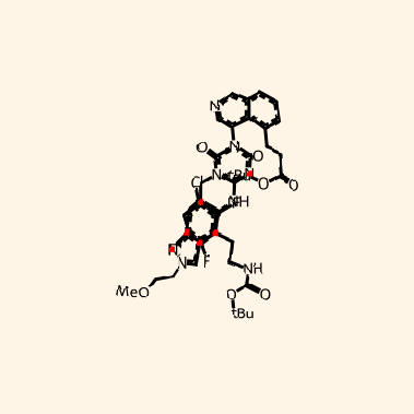 COCCn1cc2c(CCNC(=O)OC(C)(C)C)c(Nc3nc(=O)n(-c4cncc5cccc(CCC(=O)OC(C)(C)C)c45)c(=O)n3Cc3cc(F)c(F)cc3F)c(Cl)cc2n1